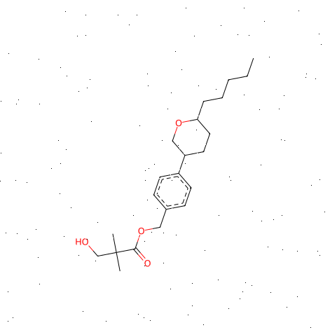 CCCCCC1CCC(c2ccc(COC(=O)C(C)(C)CO)cc2)CO1